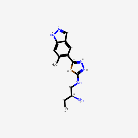 Cc1cc2[nH]ncc2cc1-c1nnc(NC[C@@H](N)CC(C)C)s1